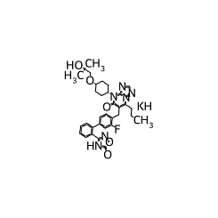 CCCc1c(Cc2ccc(-c3ccccc3-c3noc(=O)[nH]3)cc2F)c(=O)n([C@H]2CC[C@H](OCC(C)(C)O)CC2)c2ncnn12.[KH]